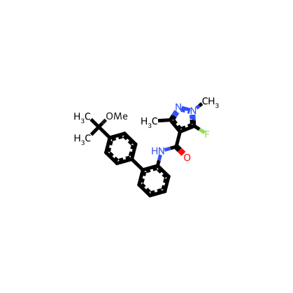 COC(C)(C)c1ccc(-c2ccccc2NC(=O)c2c(C)nn(C)c2F)cc1